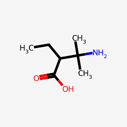 CCC(C(=O)O)C(C)(C)N